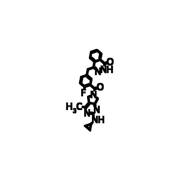 Cc1nc(NC2CC2)nc2c1CN(C(=O)c1cc(Cc3n[nH]c(=O)c4ccccc34)ccc1F)C2